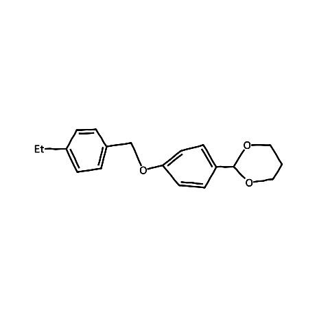 CCc1ccc(COc2ccc(C3OCCCO3)cc2)cc1